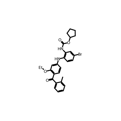 CCOc1cc(Nc2ccc(Br)cc2NC(=O)OC2CCCC2)ccc1C(=O)c1ccccc1C